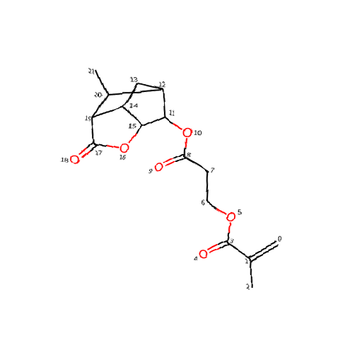 C=C(C)C(=O)OCCC(=O)OC1C2CC3C1OC(=O)C3C2C